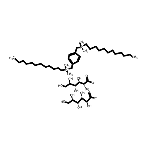 CCCCCCCCCCCC[N+](C)(C)Cc1ccc(C[N+](C)(C)CCCCCCCCCCCC)cc1.O=C([O-])[C@H](O)[C@@H](O)[C@H](O)[C@H](O)CO.O=C([O-])[C@H](O)[C@@H](O)[C@H](O)[C@H](O)CO